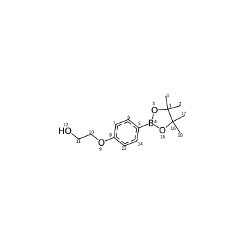 CC1(C)OB(c2ccc(OCCO)cc2)OC1(C)C